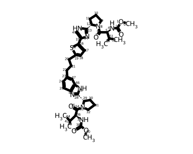 COC(=O)N[C@H](C(=O)N1CCC[C@H]1c1nc(-c2ccc(CCCc3ccc4nc([C@@H]5CCCN5C(=O)[C@@H](NC(=O)OC)C(C)C)[nH]c4c3)s2)c[nH]1)C(C)C